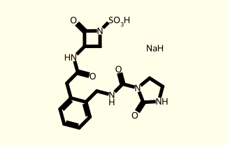 O=C(Cc1ccccc1CNC(=O)N1CCNC1=O)NC1CN(S(=O)(=O)O)C1=O.[NaH]